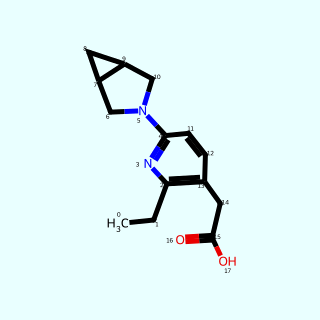 CCc1nc(N2CC3CC3C2)ccc1CC(=O)O